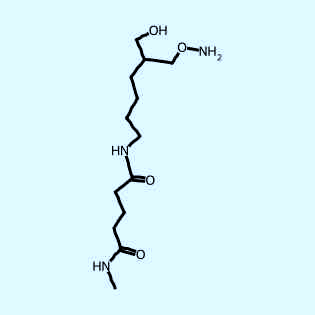 CNC(=O)CCCC(=O)NCCCCC(CO)CON